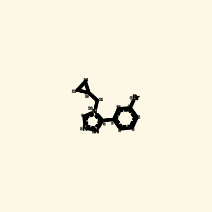 Brc1cccc(-c2nncn2CC2CC2)c1